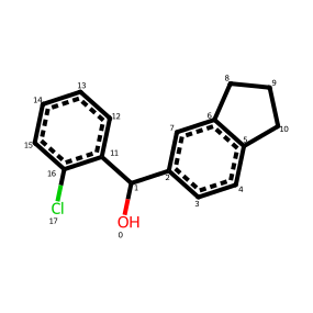 OC(c1ccc2c(c1)CCC2)c1ccccc1Cl